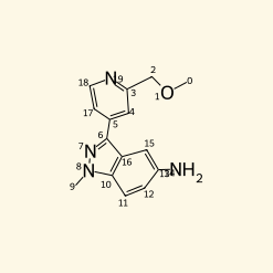 COCc1cc(-c2nn(C)c3ccc(N)cc23)ccn1